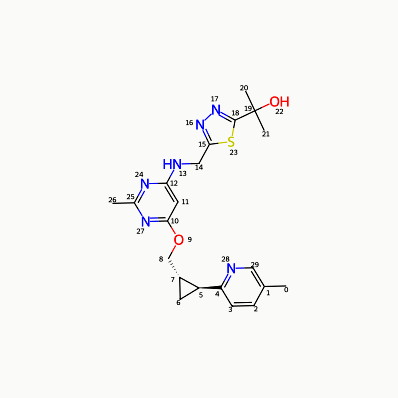 Cc1ccc([C@H]2C[C@@H]2COc2cc(NCc3nnc(C(C)(C)O)s3)nc(C)n2)nc1